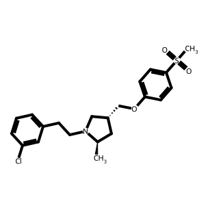 C[C@@H]1C[C@@H](COc2ccc(S(C)(=O)=O)cc2)CN1CCc1cccc(Cl)c1